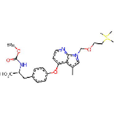 Cc1cn(COCCS(C)(C)C)c2nccc(Oc3ccc(C[C@H](NC(=O)OC(C)(C)C)C(=O)O)cc3)c12